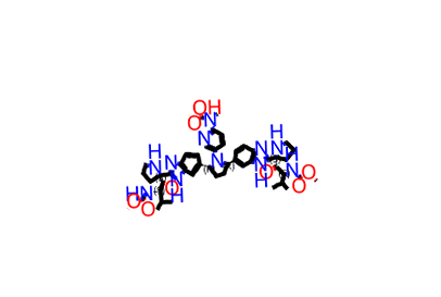 COC(=O)N[C@H](C(=O)[C@@]1(c2nc3ccc([C@H]4CC[C@H](c5ccc6nc([C@]7(C(=O)[C@@H](NC(=O)OC)C(C)C)CCCN7)[nH]c6c5)N4c4ccc(N(C)C(=O)O)nc4)cc3[nH]2)CCCN1)C(C)C